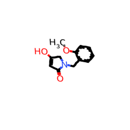 COc1ccccc1CN1CC(O)=CC1=O